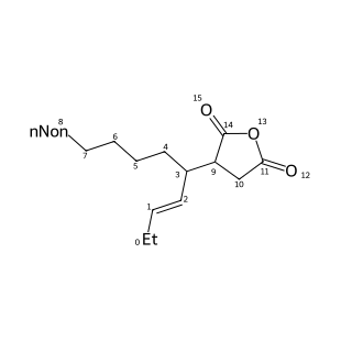 CC/C=C/C(CCCCCCCCCCCCC)C1CC(=O)OC1=O